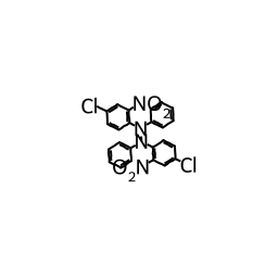 O=[N+]([O-])c1cc(Cl)ccc1N(c1ccccc1)N(c1ccccc1)c1ccc(Cl)cc1[N+](=O)[O-]